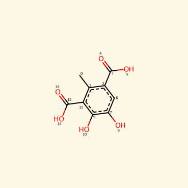 Cc1c(C(=O)O)cc(O)c(O)c1C(=O)O